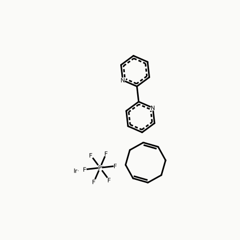 C1=CCCC=CCC1.F[P-](F)(F)(F)(F)F.[Ir].c1ccc(-c2ccccn2)nc1